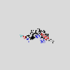 COc1ncncc1C(O)(c1ccc(-c2ccc(OCF)cn2)cn1)C(C)(C)C